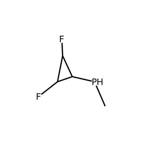 CPC1C(F)C1F